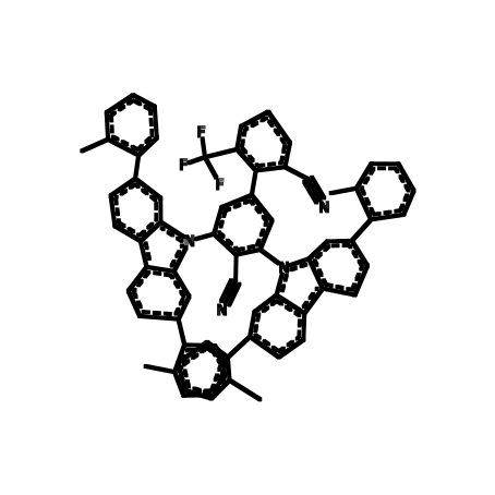 Cc1ccccc1-c1ccc2c3ccc(-c4ccccc4C)cc3n(-c3cc(-c4c(C#N)cccc4C(F)(F)F)cc(-n4c5cc(-c6ccccc6C)ccc5c5ccc(-c6ccccc6C)cc54)c3C#N)c2c1